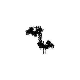 CCOc1cccc(OCCOCCOCCOc2cccc(O)c2C(=O)C2=Cc3c(n(CC)c4ccc(/C(=N/OC(C)=O)c5ccccc5C)cc34)CC2)c1C(=O)c1ccc2[nH]c3ccc(/C(=N/OC(C)=O)c4ccccc4C)cc3c2c1